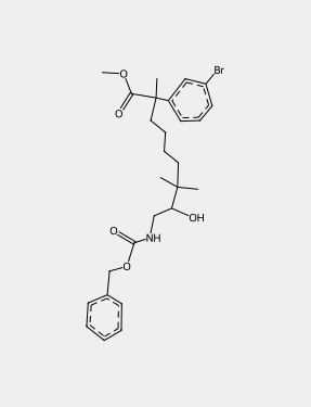 COC(=O)C(C)(CCCCC(C)(C)C(O)CNC(=O)OCc1ccccc1)c1cccc(Br)c1